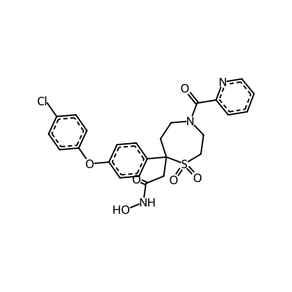 O=C(CC1(c2ccc(Oc3ccc(Cl)cc3)cc2)CCN(C(=O)c2ccccn2)CCS1(=O)=O)NO